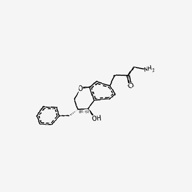 NCC(=O)Cc1ccc2c(c1)OC[C@@H](Cc1ccccc1)[C@@H]2O